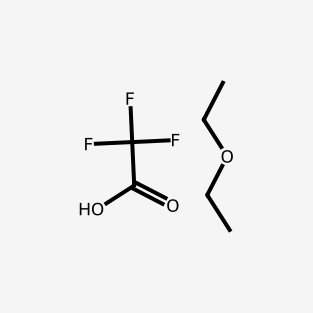 CCOCC.O=C(O)C(F)(F)F